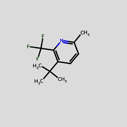 Cc1ccc(C(C)(C)C)c(C(F)(F)F)n1